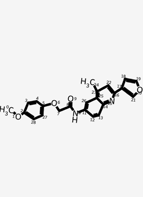 COc1ccc(OCC(=O)Nc2ccc3nc(-c4ccoc4)cc(C)c3c2)cc1